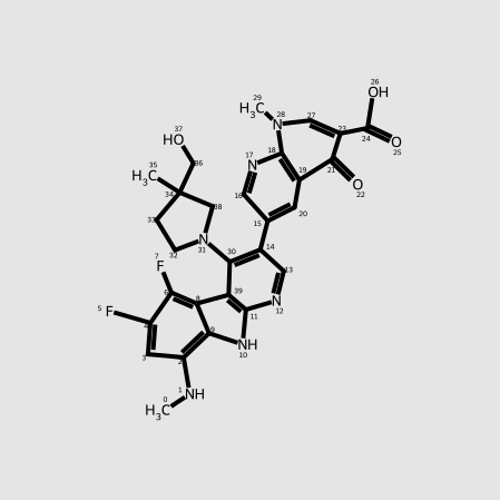 CNc1cc(F)c(F)c2c1[nH]c1ncc(-c3cnc4c(c3)c(=O)c(C(=O)O)cn4C)c(N3CCC(C)(CO)C3)c12